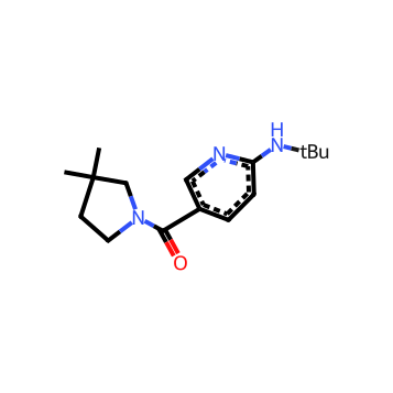 CC1(C)CCN(C(=O)c2ccc(NC(C)(C)C)nc2)C1